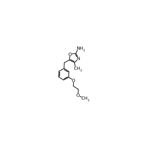 COCCOc1cccc(Cc2oc(N)nc2C)c1